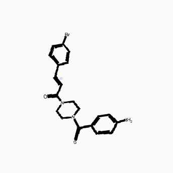 Bc1ccc(C(=O)N2CCN(C(=O)/C=C/c3ccc(Br)cc3)CC2)cc1